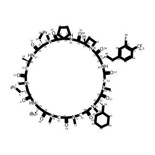 CCC(C)[C@@H]1NC(=O)[C@H](CC(C)C)N(C)C(=O)C[C@@H](C)NC(=O)[C@H](CC(C)C)N(C)C(=O)C2(CCCC2)NC(=O)[C@@H]2CCN2C(=O)[C@H](CCc2ccc(C(F)(F)F)c(F)c2)NC(=O)CN(C)C(=O)[C@H](CC2CCCCC2)N(C)C(=O)CN(C)C(=O)CN(C)C1=O